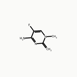 C=C1N=C(N)C(F)=CN1C